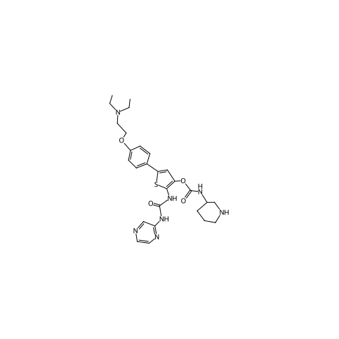 CCN(CC)CCOc1ccc(-c2cc(OC(=O)NC3CCCNC3)c(NC(=O)Nc3cnccn3)s2)cc1